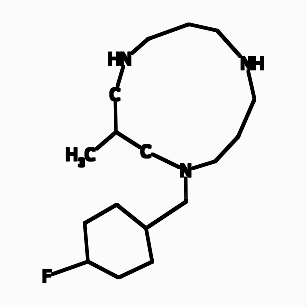 CC1CNCCCNCCCN(CC2CCC(F)CC2)C1